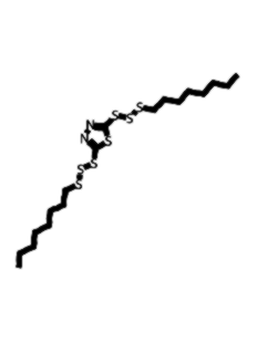 CCCCCCCCSSSc1nnc(SSSCCCCCCCC)s1